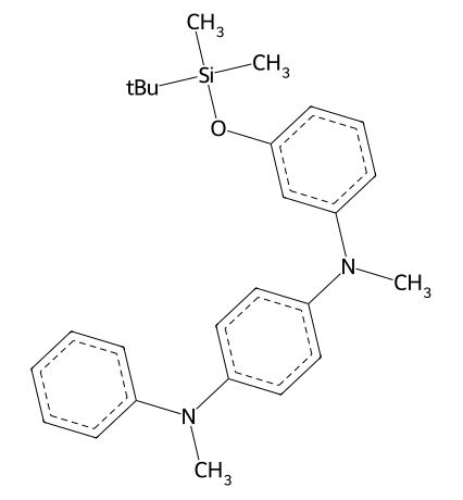 CN(c1ccccc1)c1ccc(N(C)c2cccc(O[Si](C)(C)C(C)(C)C)c2)cc1